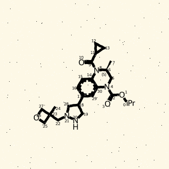 CC(C)OC(=O)N1C[C@H](C)N(C(=O)C2CC2)c2ccc(C3CNN(CC4(C)COC4)C3)cc21